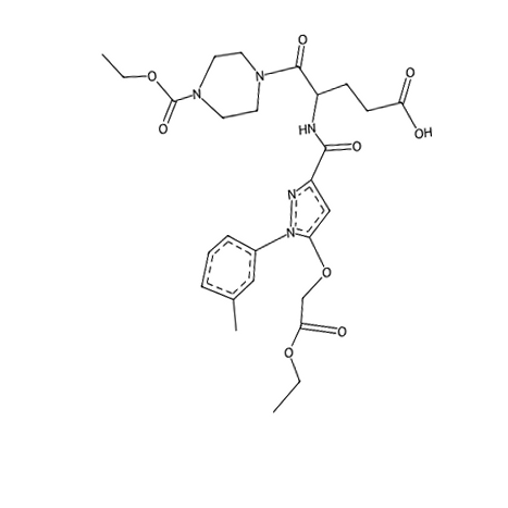 CCOC(=O)COc1cc(C(=O)NC(CCC(=O)O)C(=O)N2CCN(C(=O)OCC)CC2)nn1-c1cccc(C)c1